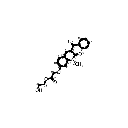 Cn1c(=O)c(C(=O)c2ccccc2)cc2ccc(OCC(=O)OCCO)cc21